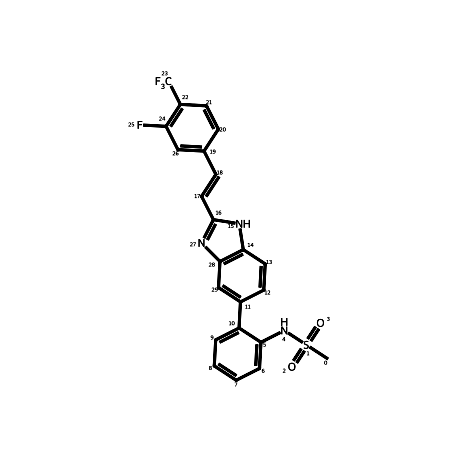 CS(=O)(=O)Nc1ccccc1-c1ccc2[nH]c(C=Cc3ccc(C(F)(F)F)c(F)c3)nc2c1